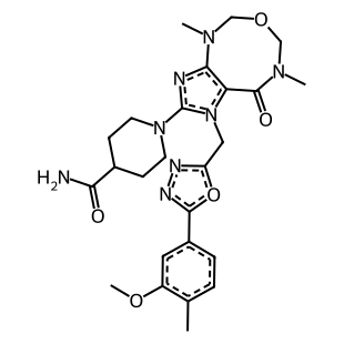 COc1cc(-c2nnc(Cn3c(N4CCC(C(N)=O)CC4)nc4c3C(=O)N(C)COCN4C)o2)ccc1C